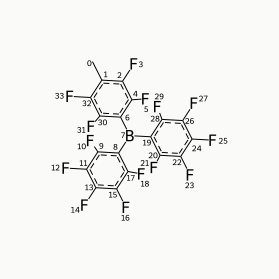 Cc1c(F)c(F)c(B(c2c(F)c(F)c(F)c(F)c2F)c2c(F)c(F)c(F)c(F)c2F)c(F)c1F